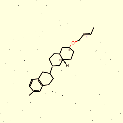 C/C=C/CO[C@@H]1CC[C@@H]2CC(C3CCc4cc(C)ccc4C3)CCC2C1